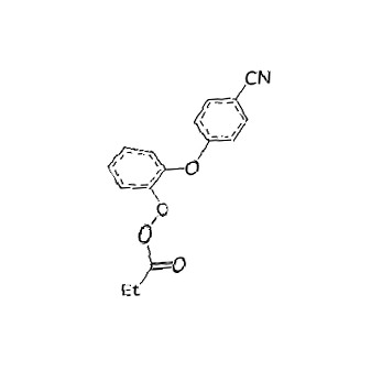 CCC(=O)OOc1ccccc1Oc1ccc(C#N)cc1